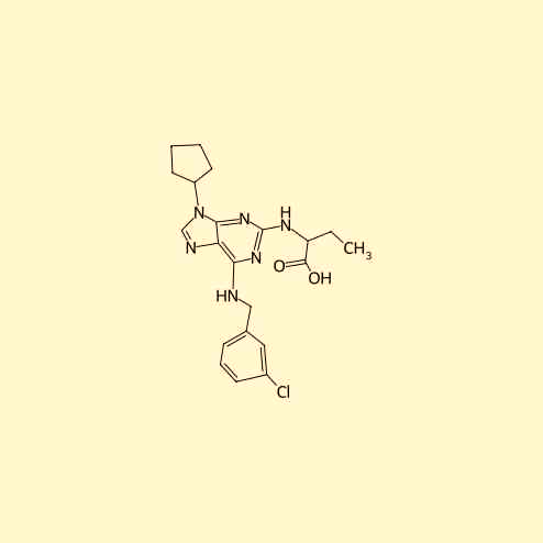 CCC(Nc1nc(NCc2cccc(Cl)c2)c2ncn(C3CCCC3)c2n1)C(=O)O